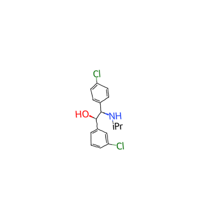 CC(C)N[C@H](c1ccc(Cl)cc1)[C@H](O)c1cccc(Cl)c1